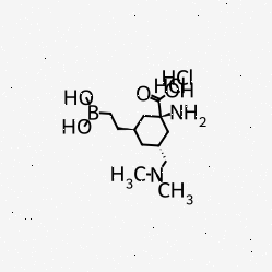 CN(C)C[C@@H]1C[C@@H](CCB(O)O)C[C@](N)(C(=O)O)C1.Cl.Cl